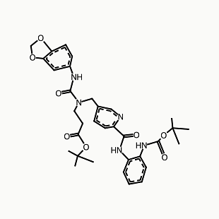 CC(C)(C)OC(=O)CCN(Cc1ccc(C(=O)Nc2ccccc2NC(=O)OC(C)(C)C)nc1)C(=O)Nc1ccc2c(c1)OCO2